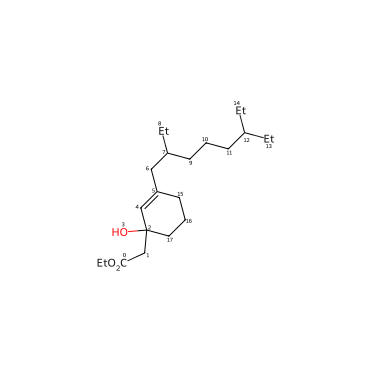 CCOC(=O)CC1(O)C=C(CC(CC)CCCC(CC)CC)CCC1